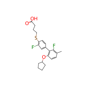 Cc1ccc(OC2CCCC2)c(-c2ccc(SCCCC(=O)O)c(F)c2)c1F